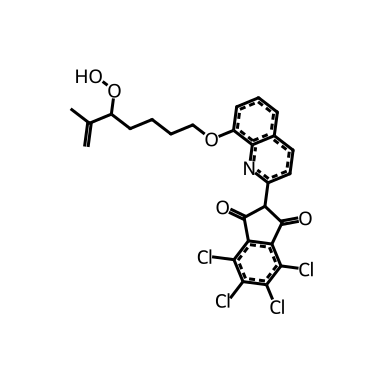 C=C(C)C(CCCCOc1cccc2ccc(C3C(=O)c4c(Cl)c(Cl)c(Cl)c(Cl)c4C3=O)nc12)OO